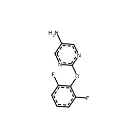 Nc1cnc(Oc2c(F)cccc2F)nc1